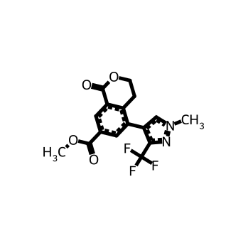 COC(=O)c1cc2c(c(-c3cn(C)nc3C(F)(F)F)c1)CCOC2=O